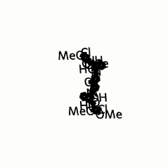 COc1cc(OC)c(NC(=O)c2cc3ccccc3c(N=Nc3ccc4c(c3)C(=O)c3cc(N=Nc5c(O)c(C(=O)Nc6cc(Cl)c(OC)cc6OC)cc6ccccc56)ccc3-4)c2O)cc1Cl